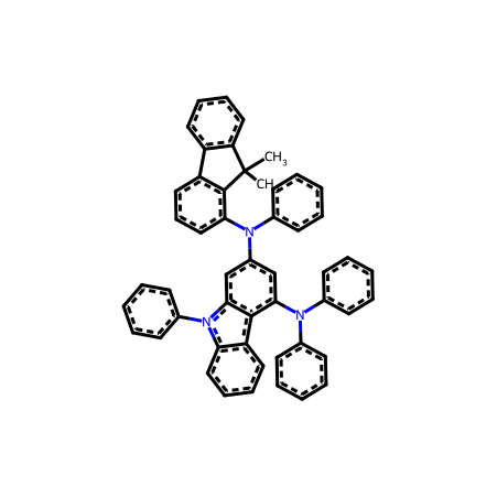 CC1(C)c2ccccc2-c2cccc(N(c3ccccc3)c3cc(N(c4ccccc4)c4ccccc4)c4c5ccccc5n(-c5ccccc5)c4c3)c21